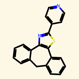 c1ccc2c(c1)Cc1ccccc1-c1sc(-c3ccncc3)nc1-2